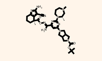 C[C@H]1CN(C)CCCN1c1nc(/C(N)=N/OC(=O)[C@@]2(C)CCCc3sc(N)c(C#N)c32)cc(N2CC3CN(C(=O)OC(C)(C)C)CC3C2)n1